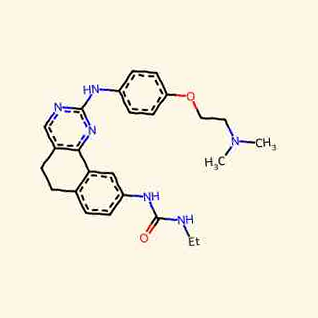 CCNC(=O)Nc1ccc2c(c1)-c1nc(Nc3ccc(OCCN(C)C)cc3)ncc1CC2